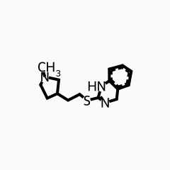 CN1CCC(CCSC2=NCc3ccccc3N2)C1